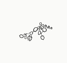 COC(=O)[C@H](Cc1ccc(OCCCN(Cc2ccccc2)C(=O)c2cnccn2)cc1)Nc1ccccc1C(=O)c1ccccc1